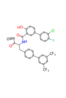 COC(=O)C(Cc1ccc(-c2cc(C(F)(F)F)cc(C(F)(F)F)c2)cc1)NC(=O)c1cc(-c2ccc(F)c(Cl)c2)ccc1O